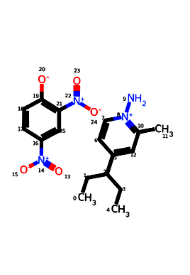 CCC(CC)c1cc[n+](N)c(C)c1.O=[N+]([O-])c1ccc([O-])c([N+](=O)[O-])c1